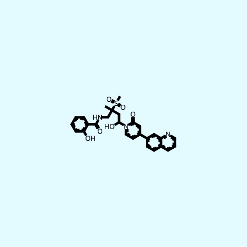 CC(CNC(=O)c1ccccc1O)(CC(O)n1ccc(-c2ccc3cccnc3c2)cc1=O)S(C)(=O)=O